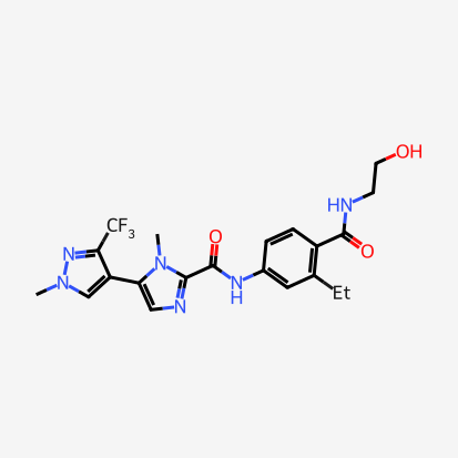 CCc1cc(NC(=O)c2ncc(-c3cn(C)nc3C(F)(F)F)n2C)ccc1C(=O)NCCO